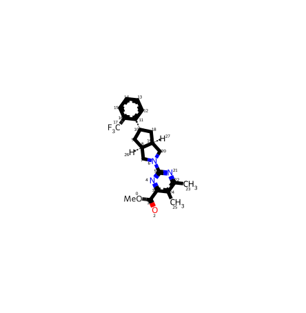 COC(=O)c1nc(N2C[C@H]3C[C@H](c4ccccc4C(F)(F)F)C[C@H]3C2)nc(C)c1C